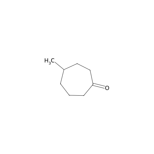 CC1CCCC(=O)CC1